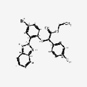 CCOC(=O)C(Oc1ccc(Br)cc1-n1nc2ccccc2n1)c1ccc(Cl)cc1